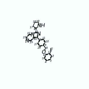 Fc1ccccc1OCc1ccc(-c2nc([C@@H]3CCCN3)n3ccncc23)cc1